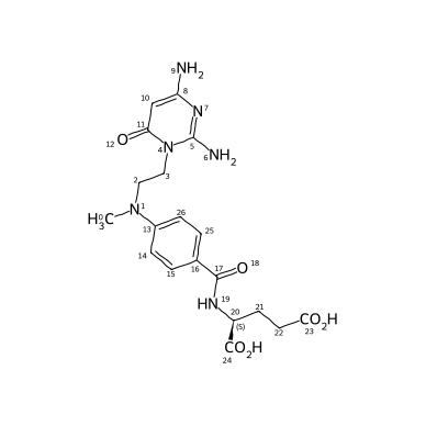 CN(CCn1c(N)nc(N)cc1=O)c1ccc(C(=O)N[C@@H](CCC(=O)O)C(=O)O)cc1